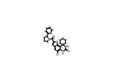 O=C1Nc2c(Cl)cc3cc(C(=O)N4CCCC4c4ccccn4)oc3c2C2(CCCCC2)N1